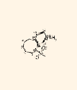 CS(=O)(=O)N1CCCCCc2cc[n+](N)cc21